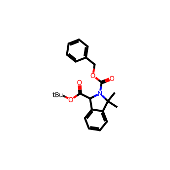 CC(C)(C)OC(=O)C1c2ccccc2C(C)(C)N1C(=O)OCc1ccccc1